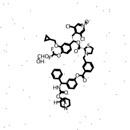 O=C(N[C@@H](c1ccccc1)c1cccc(OC(=O)c2cccc(CN3CCS[C@H]3C(=O)O[C@@H](Cc3c(Cl)c[n+]([O-])cc3Cl)c3ccc(OC(F)F)c(OCC4CC4)c3)c2)c1)O[C@H]1CN2CCC1CC2.O=CO